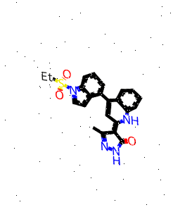 CCS(=O)(=O)n1ccc2c(C3=CC(=C4C(=O)NN=C4C)Nc4ccccc43)cccc21